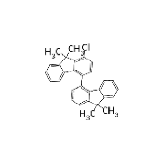 CC1(C)c2ccccc2-c2c(-c3ccc(Cl)c4c3-c3ccccc3C4(C)C)cccc21